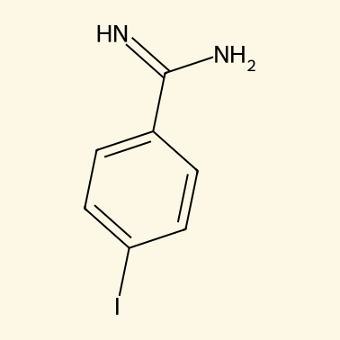 N=C(N)c1ccc(I)cc1